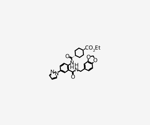 CCOC(=O)[C@H]1CC[C@H](C(=O)Nc2ccc(-n3cccn3)cc2C(=O)NCc2ccc3c(c2)OCO3)CC1